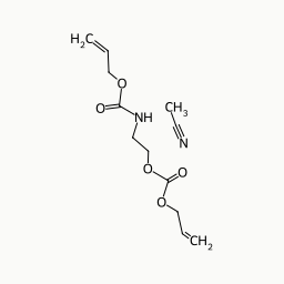 C=CCOC(=O)NCCOC(=O)OCC=C.CC#N